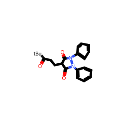 CC(C)(C)C(=O)CCC1C(=O)N(c2ccccc2)N(c2ccccc2)C1=O